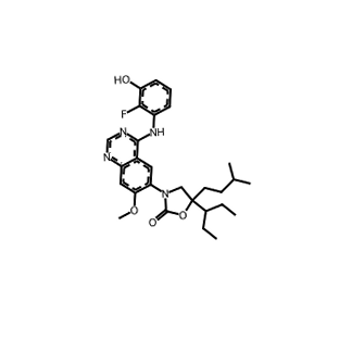 CCC(CC)C1(CCC(C)C)CN(c2cc3c(Nc4cccc(O)c4F)ncnc3cc2OC)C(=O)O1